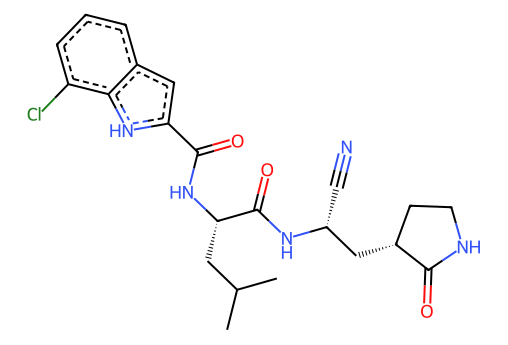 CC(C)C[C@H](NC(=O)c1cc2cccc(Cl)c2[nH]1)C(=O)N[C@H](C#N)C[C@@H]1CCNC1=O